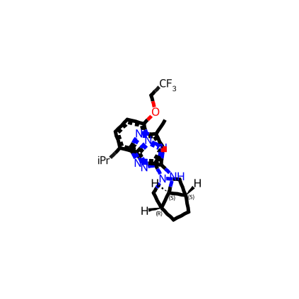 Cc1cc(N2C[C@H]3CC[C@@H](C2)[C@@H]3Nc2nc3c(C(C)C)ccc(OCC(F)(F)F)n3n2)ncn1